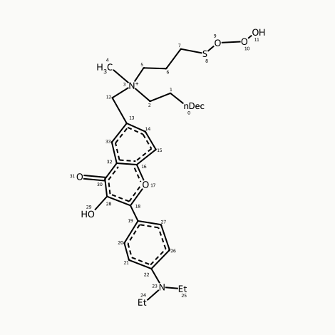 CCCCCCCCCCCC[N+](C)(CCCSOOO)Cc1ccc2oc(-c3ccc(N(CC)CC)cc3)c(O)c(=O)c2c1